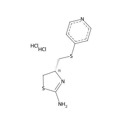 Cl.Cl.NC1=N[C@@H](CSc2ccncc2)CS1